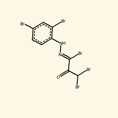 O=C(C(Br)=NNc1ccc(Br)cc1Br)C(Br)Br